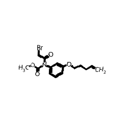 C=CCCCOc1cccc(N(C(=O)CBr)C(=O)OC)c1